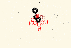 O=c1cc(-c2ccccc2)oc2c(Br)c(O)c(O)c(O)c12